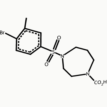 Cc1cc(S(=O)(=O)N2CCCN(C(=O)O)CC2)ccc1Br